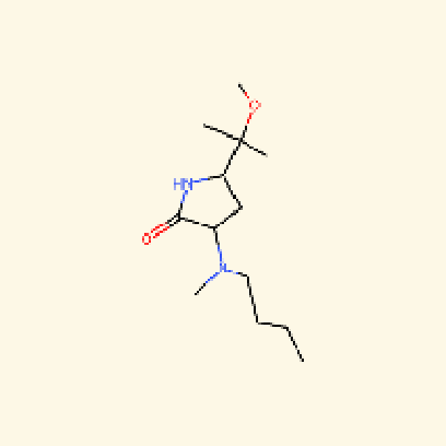 CCCCN(C)C1CC(C(C)(C)OC)NC1=O